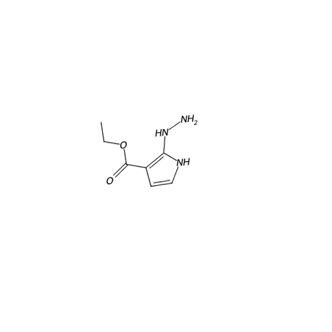 CCOC(=O)c1cc[nH]c1NN